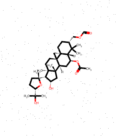 CC(=O)O[C@H]1C[C@@H]2[C@]3(CC[C@]4(C)[C@@H]([C@@]5(C)CC[C@@H](C(C)(C)O)O5)[C@@H](O)C[C@@]24C)C[C@@]32CC[C@H](COC=O)C(C)(C)[C@H]12